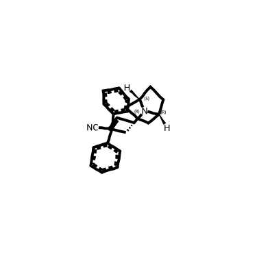 C=CCN1[C@@H]2CC[C@H]1C[C@@H](CC(C#N)(c1ccccc1)c1ccccc1)C2